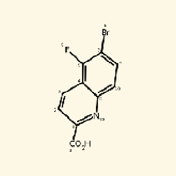 O=C(O)c1ccc2c(F)c(Br)ccc2n1